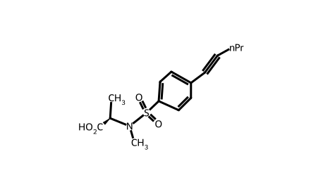 CCCC#Cc1ccc(S(=O)(=O)N(C)[C@H](C)C(=O)O)cc1